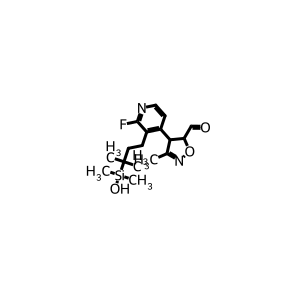 CC1=NOC(C=O)C1c1ccnc(F)c1CCC(C)(C)[Si](C)(C)O